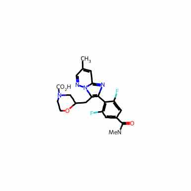 CNC(=O)c1cc(F)c(-c2nc3cc(C)cnn3c2CC2CN(C(=O)O)CCO2)c(F)c1